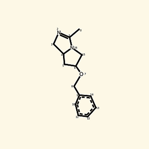 CC1=NCC2CC(OCc3ccccc3)CN12